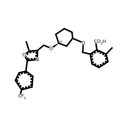 Cc1cccc(COC2CCC[C@H](OCc3nc(-c4ccc(C(F)(F)F)cc4)oc3C)C2)c1C(=O)O